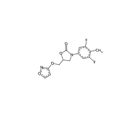 Cc1c(F)cc(N2CC(COc3ccon3)OC2=O)cc1F